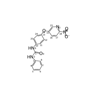 O=C(Nc1ccccc1)Nc1ccc(Oc2ccc([N+](=O)[O-])nc2)cc1